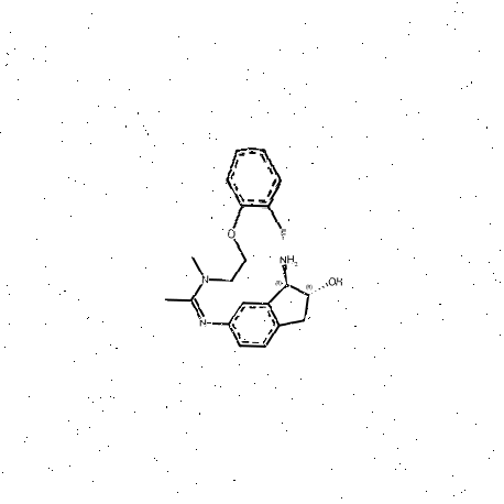 CC(=Nc1ccc2c(c1)[C@@H](N)[C@H](O)C2)N(C)CCOc1ccccc1F